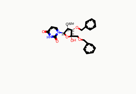 CO[C@H]1[C@H](n2ccc(=O)[nH]c2=O)O[C@](O)(COCc2ccccc2)[C@H]1OCc1ccccc1